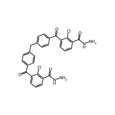 NNC(=O)c1cccc(C(=O)c2ccc(Cc3ccc(C(=O)c4cccc(C(=O)NN)c4Cl)cc3)cc2)c1Cl